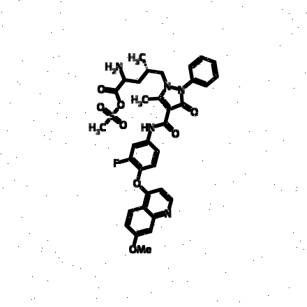 COc1ccc2c(Oc3ccc(NC(=O)c4c(C)n(C[C@@H](C)CC(N)C(=O)OS(C)(=O)=O)n(-c5ccccc5)c4=O)cc3F)ccnc2c1